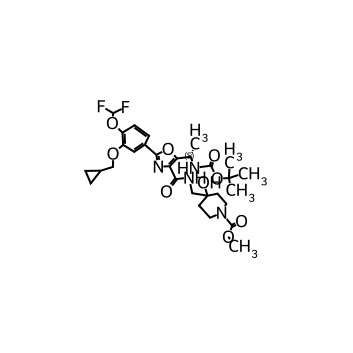 COC(=O)N1CCC(O)(CNC(=O)c2nc(-c3ccc(OC(F)F)c(OCC4CC4)c3)oc2[C@H](C)NC(=O)OC(C)(C)C)CC1